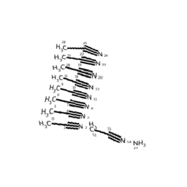 CC#N.CC#N.CC#N.CC#N.CC#N.CC#N.CC#N.CC#N.CC#N.N